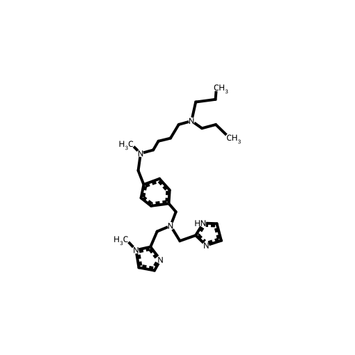 CCCN(CCC)CCCCN(C)Cc1ccc(CN(Cc2ncc[nH]2)Cc2nccn2C)cc1